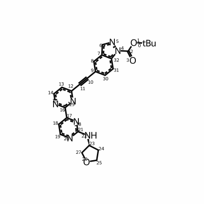 CC(C)(C)OC(=O)n1ncc2cc(C#Cc3ccnc(-c4ccnc(N[C@H]5CCOC5)n4)n3)ccc21